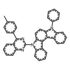 Cc1ccc(-c2nc(-n3c4ccccc4c4c5c6ccccc6n(-c6ccccc6)c5ccc43)nc3ccccc23)cc1